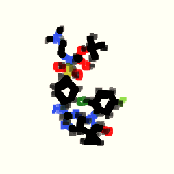 CN(C)CCN(C(=O)OC(C)(C)C)S(=O)(=O)c1ccc(Nc2ncc3c(n2)N(c2cc(F)ccc2Cl)C(=O)C32CC2)cc1